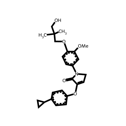 COc1cc(N2CC=C(Oc3ccc(C4CC4)cc3)C2=O)ccc1OCC(C)(C)CO